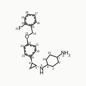 NC1CCC(N[C@@H]2C[C@H]2c2ccc(OCc3ccccc3F)cc2)CC1